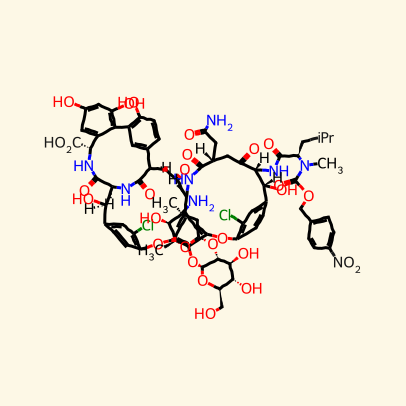 CC(C)C[C@H](C(=O)N[C@H]1C(=O)C[C@@H](CC(N)=O)C(=O)N[C@H]2C(=O)C[C@H]3C(=O)N[C@H](C(=O)N[C@H](C(=O)O)c4cc(O)cc(O)c4-c4cc3ccc4O)[C@H](O)c3ccc(c(Cl)c3)Oc3cc2cc(c3O[C@@H]2O[C@H](CO)[C@@H](O)[C@H](O)[C@H]2O[C@H]2C[C@](C)(N)[C@H](O)[C@H](C)O2)Oc2ccc(cc2Cl)[C@H]1O)N(C)C(=O)OCc1ccc([N+](=O)[O-])cc1